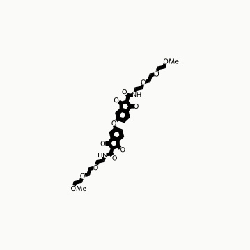 COCCOCCOCCNC(=O)C1C(=O)c2ccc(Oc3ccc4c(c3)C(=O)C(C(=O)NCCOCCOCCOC)C4=O)cc2C1=O